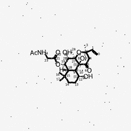 C=C[C@@]1(C)CC(=O)[C@]2(O)[C@@]3(C)[C@@H](O)CCC(C)(C)[C@@H]3[C@H](OC(=O)CNC(C)=O)[C@H](O)[C@@]2(C)O1